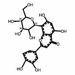 O=c1cc(-c2ccc(O)c(O)c2)oc2c([C@@H]3OC(CO)[C@H](O)[C@H](O)C3O)c(O)cc(O)c12